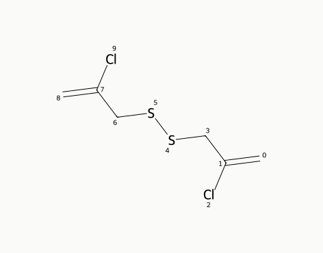 C=C(Cl)CSSCC(=C)Cl